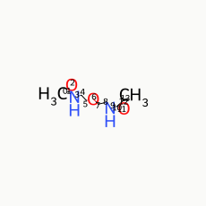 CC(=O)NCCOCCNC1OC1C